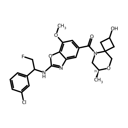 COc1cc(C(=O)N2C[C@H](C)OCC23CC(O)C3)cc2nc(NC(CF)c3cccc(Cl)c3)oc12